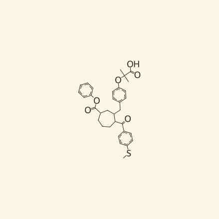 CSc1ccc(C(=O)C2CCCC(C(=O)Oc3ccccc3)CC2Cc2ccc(OC(C)(C)C(=O)O)cc2)cc1